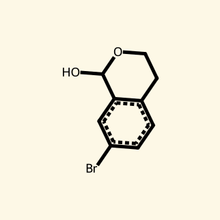 OC1OCCc2ccc(Br)cc21